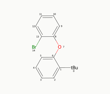 CC(C)(C)c1ccccc1Oc1ccccc1Br